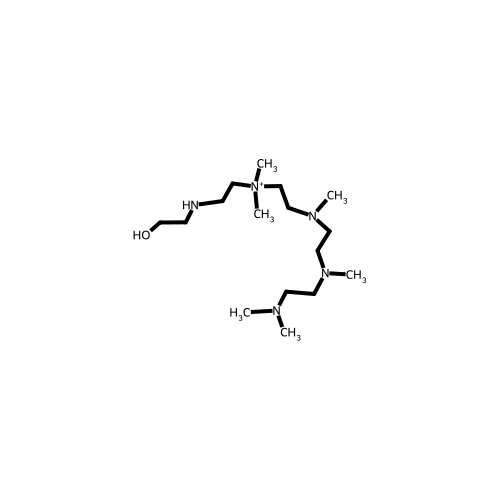 CN(C)CCN(C)CCN(C)CC[N+](C)(C)CCNCCO